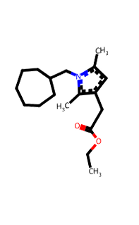 CCOC(=O)Cc1cc(C)n(CC2CCCCCC2)c1C